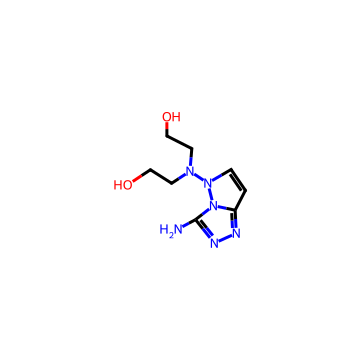 Nc1nnc2ccn(N(CCO)CCO)n12